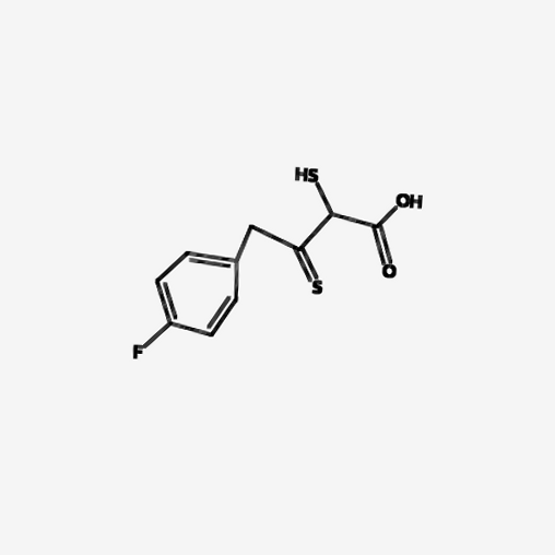 O=C(O)C(S)C(=S)Cc1ccc(F)cc1